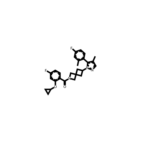 Cc1cc(F)ccc1-c1c(C)cnn1C1CC2(C1)CN(C(=O)c1ccc(F)cc1OC1CC1)C2